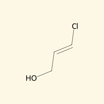 OCC=CCl